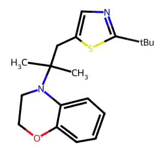 CC(C)(C)c1ncc(CC(C)(C)N2CCOc3ccccc32)s1